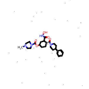 CN1CCN(C(=O)OC2CC[C@H](C(=O)N3CCC(c4ccccc4)CC3)C(C(=O)NO)C2)CC1